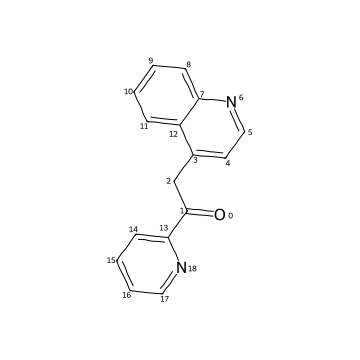 O=C(Cc1ccnc2ccccc12)c1ccccn1